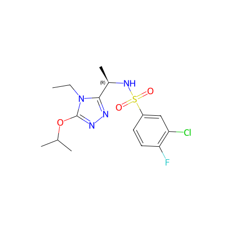 CCn1c(OC(C)C)nnc1[C@@H](C)NS(=O)(=O)c1ccc(F)c(Cl)c1